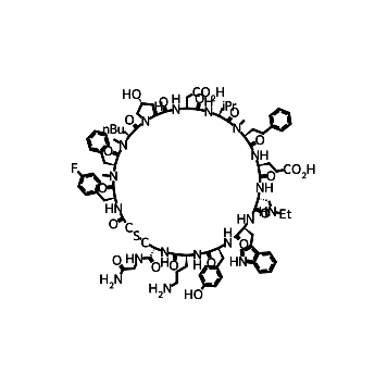 CCCC[C@H]1C(=O)N2C[C@H](O)C[C@@H]2C(=O)N[C@@H](CC(=O)O)C(=O)N[C@@H](C(C)C)C(=O)N(C)[C@@H](CCc2ccccc2)C(=O)N[C@@H](CCC(=O)O)C(=O)N[C@H](CNCC)C(=O)N[C@@H](Cc2c[nH]c3ccccc23)C(=O)N[C@@H](Cc2ccc(O)cc2)C(=O)N[C@@H](CCCN)C(=O)N[C@H](C(=O)NCC(N)=O)CSCC(=O)N[C@@H](Cc2ccc(F)cc2)C(=O)N(C)[C@@H](Cc2ccccc2)C(=O)N1C